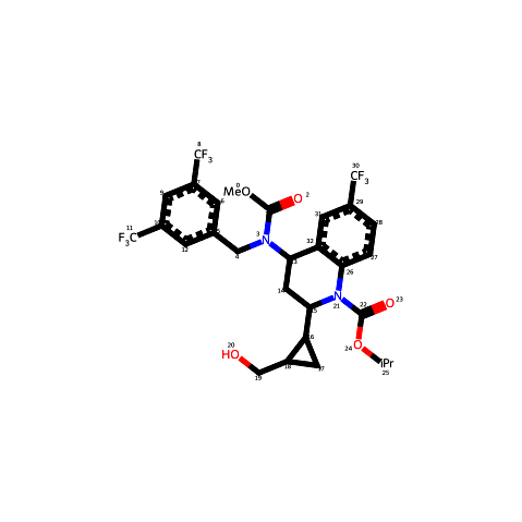 COC(=O)N(Cc1cc(C(F)(F)F)cc(C(F)(F)F)c1)C1CC(C2CC2CO)N(C(=O)OC(C)C)c2ccc(C(F)(F)F)cc21